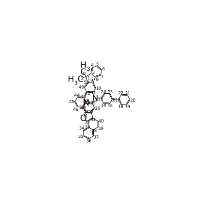 CC1(C)c2ccccc2-c2cc(N(c3ccc(-c4ccccc4)cc3)c3cc4c(cn3)oc3c5ccccc5ccc43)c(-c3ccccc3)cc21